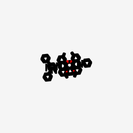 Cc1ccc2c(c1)C1(c3cc(C)ccc3N2c2ccccc2)c2ccccc2C2(c3cc(C)ccc3N(c3cc(-c4ccccc4)nc(-c4ccccc4)n3)c3ccc(C)cc32)c2ccccc21